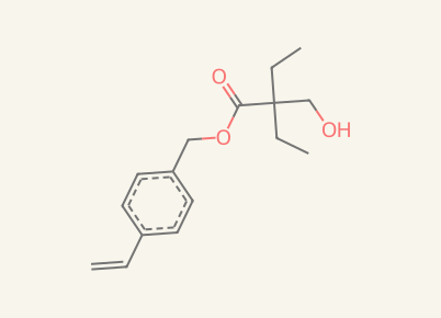 C=Cc1ccc(COC(=O)C(CC)(CC)CO)cc1